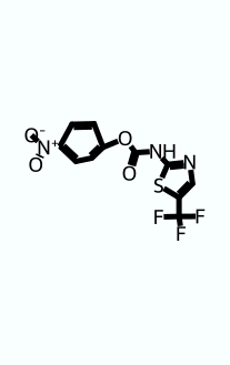 O=C(Nc1ncc(C(F)(F)F)s1)Oc1ccc([N+](=O)[O-])cc1